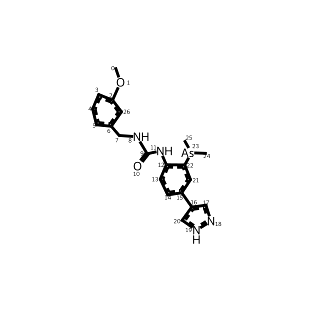 COc1cccc(CNC(=O)Nc2ccc(-c3cn[nH]c3)cc2[As](C)C)c1